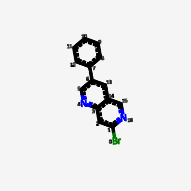 Brc1cc2ncc(-c3ccccc3)cc2cn1